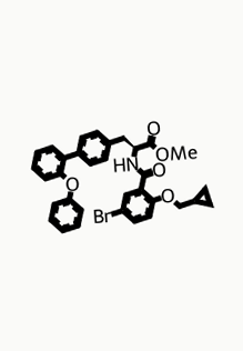 COC(=O)[C@H](Cc1ccc(-c2ccccc2Oc2ccccc2)cc1)NC(=O)c1cc(Br)ccc1OCC1CC1